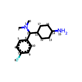 CN(C)C(c1ccc(F)cc1)C1CCC(N)CC1